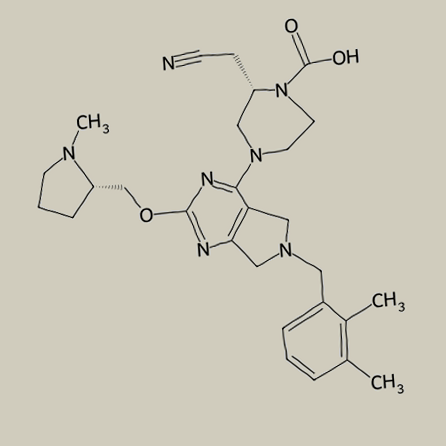 Cc1cccc(CN2Cc3nc(OC[C@@H]4CCCN4C)nc(N4CCN(C(=O)O)[C@@H](CC#N)C4)c3C2)c1C